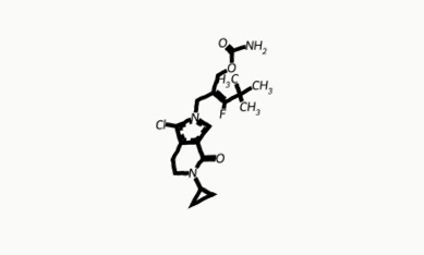 CC(C)(C)C(F)=C(COC(N)=O)Cn1cc2c(c1Cl)CCN(C1CC1)C2=O